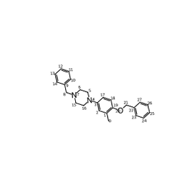 Cc1cc(N2CCN(Cc3ccccc3)CC2)ccc1OCc1ccccc1